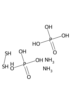 N.N.O=P(O)(O)O.O=P(O)(O)O.SS